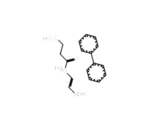 CCCCCCCCCC/C=C/OC(=O)CCC(=O)O.[Hg].c1ccc(-c2ccccc2)cc1